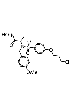 COc1ccc(CN(C(C)C(=O)NO)S(=O)(=O)c2ccc(OCCCCl)cc2)cc1